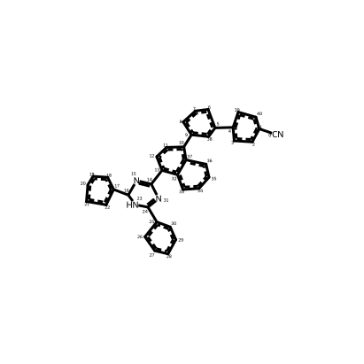 N#Cc1ccc(-c2cccc(-c3ccc(C4=NC(c5ccccc5)NC(c5ccccc5)=N4)c4ccccc34)c2)cc1